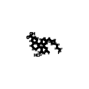 Cc1ccc(C2=C(c3ccc(CC4CN(CCCF)C4)cc3)c3ccc(C(=O)O)cc3CCC2)c(C)n1.Cl